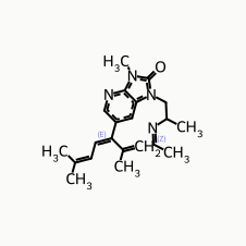 C=C(C)/C(=C\C=C(C)C)c1cnc2c(c1)n(CC(C)/N=C\C)c(=O)n2C